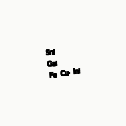 [Cu].[Fe].[Ga].[In].[Sn]